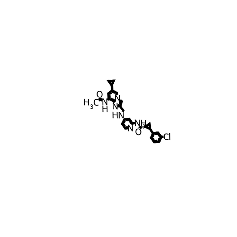 CC(=O)Nc1cc(C2CC2)cn2cc(CNc3ccnc(NC(=O)[C@H]4CC4c4cccc(Cl)c4)c3)nc12